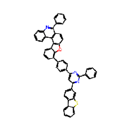 c1ccc(-c2nc(-c3ccc(-c4cccc5c4oc4ccc6c(-c7ccccc7)nc7ccccc7c6c45)cc3)cc(-c3ccc4c(c3)sc3ccccc34)n2)cc1